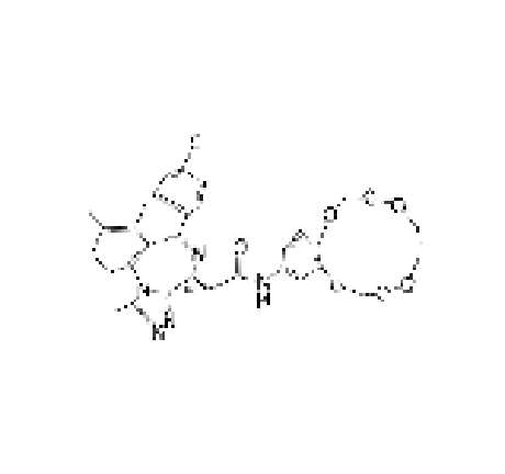 CC1=C(C)C2=C(CC1)n1c(C)nnc1[C@H](CC(=O)Nc1ccc3c(c1)OCCOCCOCCO3)N=C2c1ccc(Cl)cc1